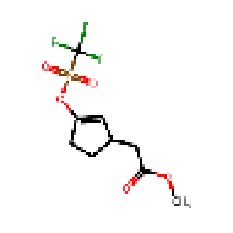 COC(=O)CC1C=C(OS(=O)(=O)C(F)(F)F)CC1